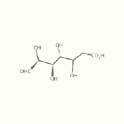 O=C[C@@H](O)[C@H](O)[C@H](O)C(O)CC(=O)O